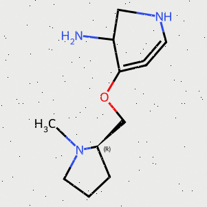 CN1CCC[C@@H]1COC1=C=CNCC1N